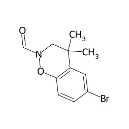 CC1(C)CN(C=O)Oc2ccc(Br)cc21